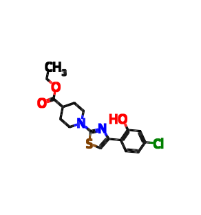 CCOC(=O)C1CCN(c2nc(-c3ccc(Cl)cc3O)cs2)CC1